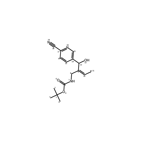 CC(C)(C)OC(=O)NC/C(=C/F)C(O)c1ccc(C#N)nc1